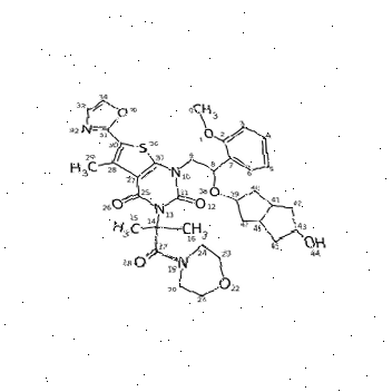 COc1ccccc1C(Cn1c(=O)n(C(C)(C)C(=O)N2CCOCC2)c(=O)c2c(C)c(-c3ncco3)sc21)OC1CC2CC(O)CC2C1